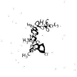 Cc1ccn(-c2cc(Cl)ccc2C(Oc2cc(N3CCC4(CC3)CN[C@H](C(=O)OCC(=O)N(C)C)C4)nc(N)n2)C(F)(F)F)n1